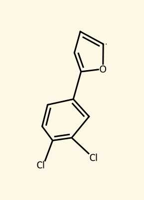 Clc1ccc(-c2cc[c]o2)cc1Cl